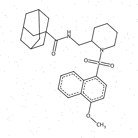 COc1ccc(S(=O)(=O)N2CCCCC2CNC(=O)C23CC4CC(CC(C4)C2)C3)c2ccccc12